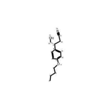 CCCCOc1ccc([C@H](CO)CC#N)cc1